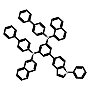 c1ccc(-c2ccc(N(c3cc(-c4ccc5c(ccn5-c5ccccc5)c4)cc(N(c4ccc(-c5ccccc5)cc4)c4cccc5ccccc45)c3)c3ccc4ccccc4c3)cc2)cc1